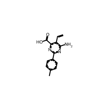 C=Cc1c(N)nc(-c2ccc(C)cc2)nc1C(=O)O